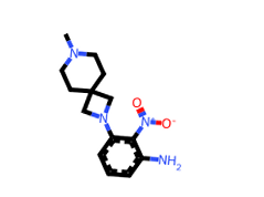 CN1CCC2(CC1)CN(c1cccc(N)c1[N+](=O)[O-])C2